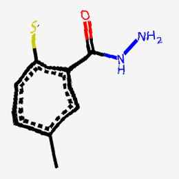 Cc1ccc([S])c(C(=O)NN)c1